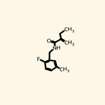 C=C(CC)C(=O)NCc1cc(C)ccc1F